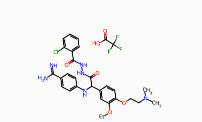 CCOc1cc(C(Nc2ccc(C(=N)N)cc2)C(=O)NNC(=O)c2ccccc2Cl)ccc1OCCN(C)C.O=C(O)C(F)(F)F